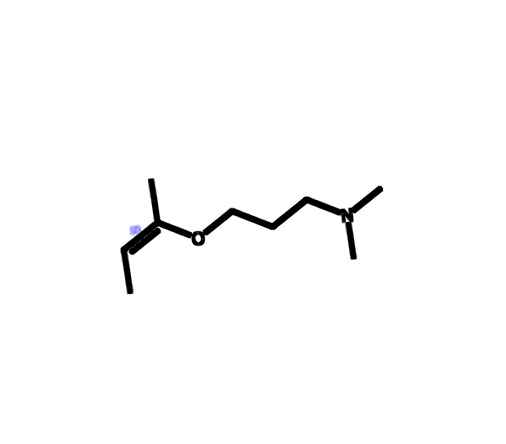 C/C=C(/C)OCCCN(C)C